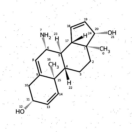 C[C@]12CC[C@H]3[C@@H]([C@@H](N)C=C4C[C@@H](O)C=C[C@@]43C)[C@@H]1C=C[C@@H]2O